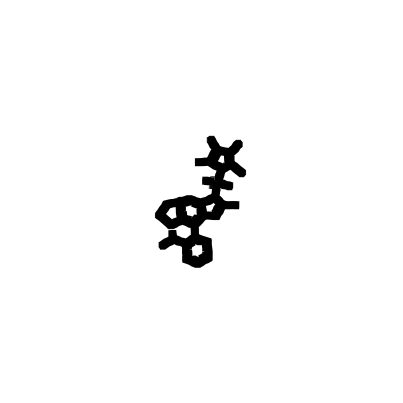 CC1=Cc2c(cc3c(c2-c2ccccc2C(C)C)CCC3)C1[Si](C)(C)C1C(C)=C(C)C(C)=C1C